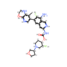 Cc1c(-c2cc3cc(NC(=O)O[C@H]4CCN([C@H]5CCOC5)C[C@@H]4F)ncc3c(N)c2F)cnc2c1NCCO2